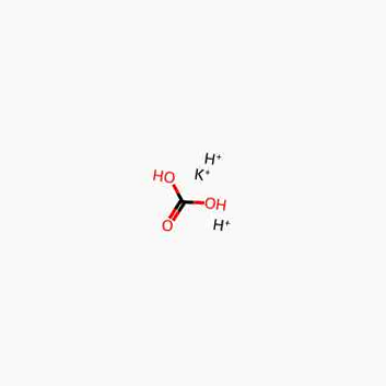 O=C(O)O.[H+].[H+].[K+]